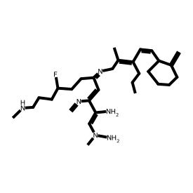 C=NC(=C\C(CCC(F)CCCNC)=N/C/C(C)=C(/C=C\C1CCCCC1=C)CCC)/C(N)=C/N(C)N